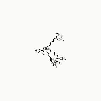 CC(=O)O[Si](CCCCCC(C)C)(CCCCCC(C)C)CCCCCC(C)C